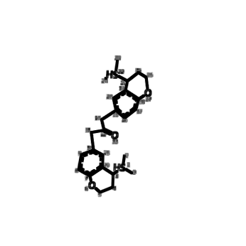 C[SH](C)C1CCOc2ccc(CC(=O)Cc3ccc4c(c3)C([SH](C)C)CCO4)cc21